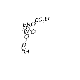 CCOC(=O)c1ccc2c(c1)NC(=O)/C2=C(\Nc1ccc(CCN2CCC(O)CC2)cc1)c1ccccc1